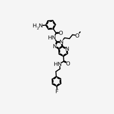 COCCCn1c(NC(=O)c2cccc(N)c2)nc2cc(C(=O)NCCc3ccc(F)cc3)cnc21